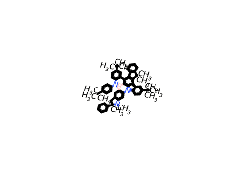 CN1c2cc3c(cc2CC1(C)c1ccccc1)B1c2c(c4c(c5c6cc(C(C)(C)C)ccc6n-3c25)C(C)(C)c2ccccc2-4)-c2cc(C(C)(C)C)ccc2N1c1ccc(C(C)(C)C)cc1